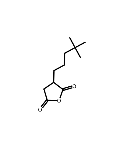 CC(C)(C)CCCC1CC(=O)OC1=O